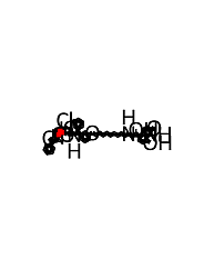 O=C(NC(c1cccc(Cl)c1)c1cccc(OCCCCCCCCCNC[C@@H](O)c2ccc(O)c3[nH]c(=O)ccc23)c1)O[C@H]1C[N+]2(CC(=O)c3ccccc3)CCC1CC2